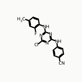 Cc1ccc(Nc2nc(Cl)nc(Nc3ccc(C#N)cc3)n2)c(F)c1